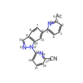 CC(=O)c1cccc(-c2ccc3cnn(-c4cccc(C#N)n4)c3c2)n1